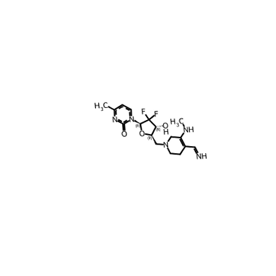 CNC1=C(C=N)CCN(C[C@H]2O[C@@H](n3ccc(C)nc3=O)C(F)(F)[C@@H]2O)C1